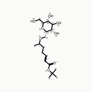 CC(CC/C=C/C(=O)OC(C)(C)C)OC[C@@H]1OC(CO)[C@H](O)C(O)[C@@H]1O